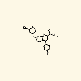 NC(=O)c1cc(-c2ccc(F)cc2)c2c(n1)CN(C[C@H]1CCOC(C3CC3)C1)CC2